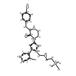 Cc1cnncc1-c1cc(N2CCOC(Cc3ccc(Cl)cc3)C2=O)nn1COCC[Si](C)(C)C